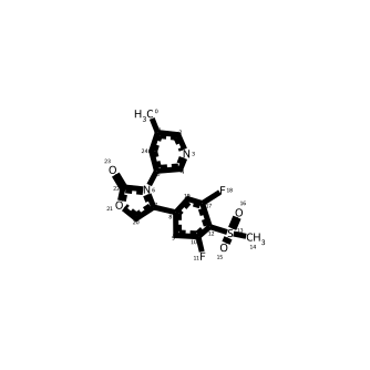 Cc1cncc(-n2c(-c3cc(F)c(S(C)(=O)=O)c(F)c3)coc2=O)c1